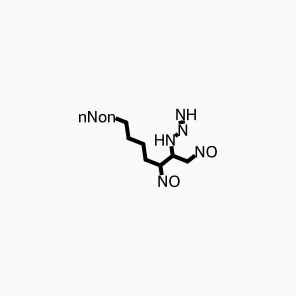 CCCCCCCCCCCCCC(N=O)C(CN=O)NN=N